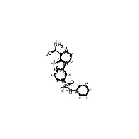 NC(=O)c1nccc2c1[nH]c1ccc(S(=O)(=O)Nc3ccccc3)cc12